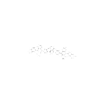 c1ccc2cc(-c3c4ccccc4c(-c4ccc5c(c4)Sc4ccc6c7c(ccc-5c47)-c4ccc(-c5c7ccccc7c(-c7ccc8ccccc8c7)c7ccccc57)cc4S6)c4ccccc34)ccc2c1